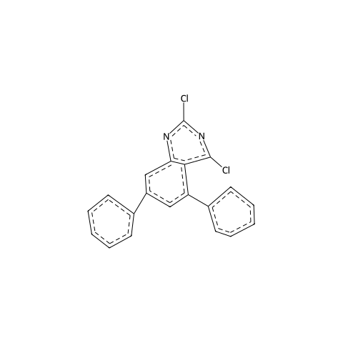 Clc1nc(Cl)c2c(-c3ccccc3)cc(-c3ccccc3)cc2n1